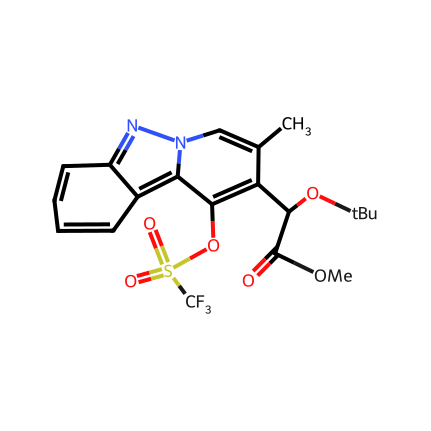 COC(=O)C(OC(C)(C)C)c1c(C)cn2nc3ccccc3c2c1OS(=O)(=O)C(F)(F)F